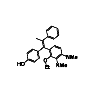 CCOc1c(/C(=C(/C)c2ccccc2)c2ccc(O)cc2)ccc(NC)c1NC